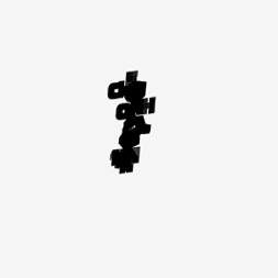 CC(CC(C)c1cc(-c2nncn2C)cs1)C(=O)Nc1ccc(F)c(Cl)c1